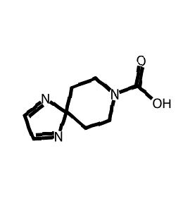 O=C(O)N1CCC2(CC1)N=CC=N2